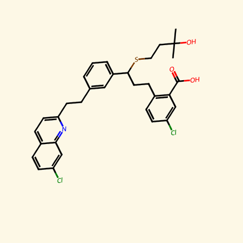 CC(C)(O)CCSC(CCc1ccc(Cl)cc1C(=O)O)c1cccc(CCc2ccc3ccc(Cl)cc3n2)c1